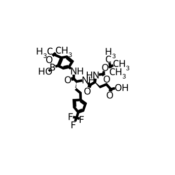 CC(C)(C)OC(=O)N[C@@H](CCC(=O)O)C(=O)N[C@H](CCc1ccc(C(F)(F)F)cc1)C(=O)Nc1ccc2c(c1)B(O)OC2(C)C